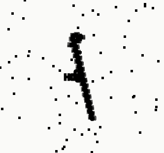 CCCCCC=CCC=CCCCCCCCC(CCCCCCCCCC(C)C1CCCN(C)C1)OC(=O)O